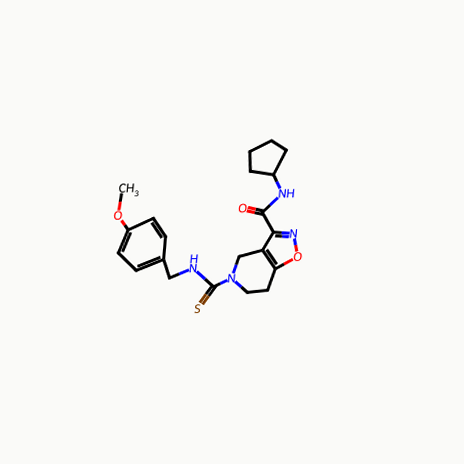 COc1ccc(CNC(=S)N2CCc3onc(C(=O)NC4CCCC4)c3C2)cc1